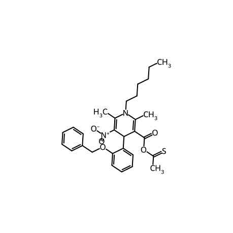 CCCCCCN1C(C)=C(C(=O)OC(C)=S)C(c2ccccc2OCc2ccccc2)C([N+](=O)[O-])=C1C